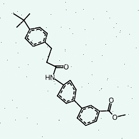 COC(=O)c1cccc(-c2ccc(NC(=O)CCc3ccc(C(C)(C)C)cc3)cc2)c1